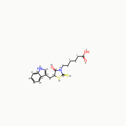 O=C(O)CCCCCN1C(=O)C(Cc2c[nH]c3ccccc23)SC1=S